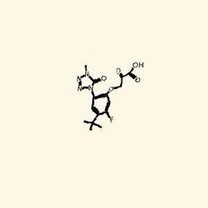 Cn1nnn(-c2cc(C(C)(C)C)c(F)cc2OCC(=O)C(=O)O)c1=O